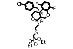 CCOP(=O)(CSCC[C@@H]1OCC[C@@]2(Cc3ccc(Cl)cc3)c3c(F)ccc(F)c3OC[C@@H]12)OCC